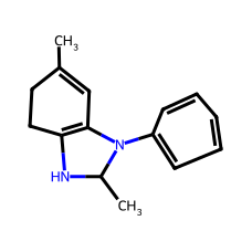 CC1=CC2=C(CC1)NC(C)N2c1ccccc1